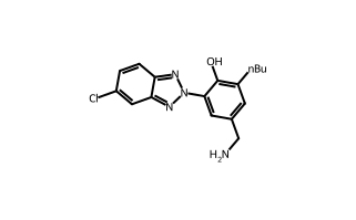 CCCCc1cc(CN)cc(-n2nc3ccc(Cl)cc3n2)c1O